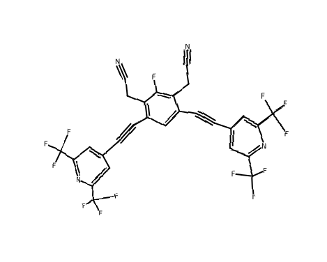 N#CCc1c(C#Cc2cc(C(F)(F)F)nc(C(F)(F)F)c2)cc(C#Cc2cc(C(F)(F)F)nc(C(F)(F)F)c2)c(CC#N)c1F